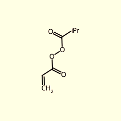 C=CC(=O)OOC(=O)C(C)C